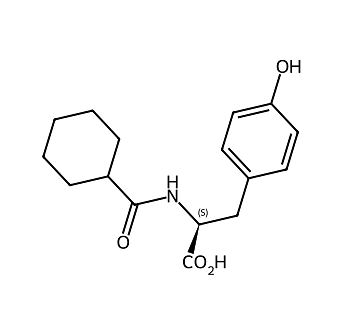 O=C(N[C@@H](Cc1ccc(O)cc1)C(=O)O)C1CCCCC1